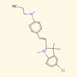 CN(CCC#N)c1ccc(/C=C/C2=[N+](C)c3ccc(Cl)cc3C2(C)C)cc1